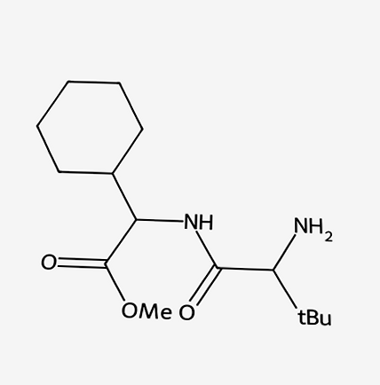 COC(=O)C(NC(=O)C(N)C(C)(C)C)C1CCCCC1